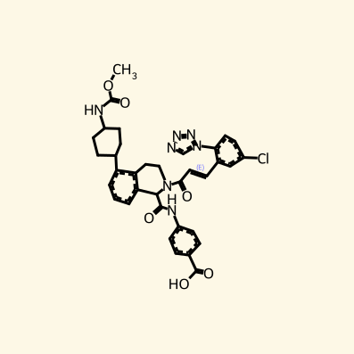 COC(=O)NC1CCC(c2cccc3c2CCN(C(=O)/C=C/c2cc(Cl)ccc2-n2cnnn2)C3C(=O)Nc2ccc(C(=O)O)cc2)CC1